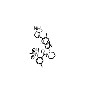 Cc1ccc(NS(C)(=O)=O)c(C(=O)N2CCCC[C@H]2c2cc3nc(N4CC[C@H](N)C4)c(C)cn3n2)c1